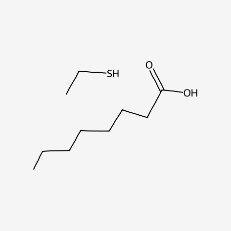 CCCCCCCC(=O)O.CCS